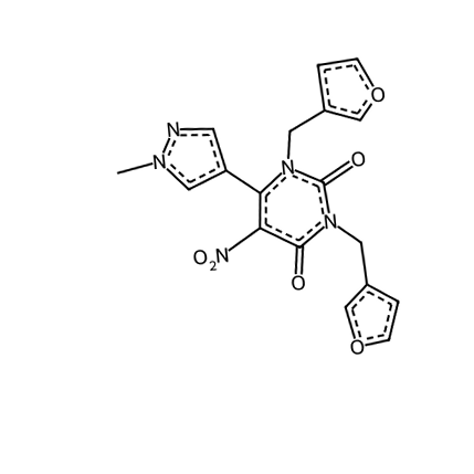 Cn1cc(-c2c([N+](=O)[O-])c(=O)n(Cc3ccoc3)c(=O)n2Cc2ccoc2)cn1